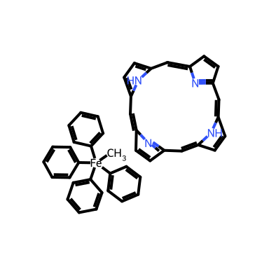 C1=Cc2cc3ccc(cc4nc(cc5ccc(cc1n2)[nH]5)C=C4)[nH]3.[CH3][Fe]([c]1ccccc1)([c]1ccccc1)([c]1ccccc1)[c]1ccccc1